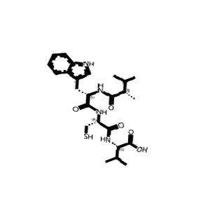 CC(C)[C@H](C)C(=O)N[C@@H](Cc1c[nH]c2ccccc12)C(=O)N[C@@H](CS)C(=O)N[C@H](C(=O)O)C(C)C